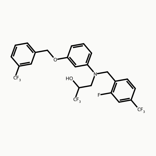 OC(CN(Cc1ccc(C(F)(F)F)cc1F)c1cccc(OCc2cccc(C(F)(F)F)c2)c1)C(F)(F)F